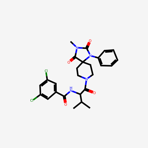 CC(C)C(NC(=O)c1cc(Cl)cc(Cl)c1)C(=O)N1CCC2(CC1)C(=O)N(C)C(=O)N2c1ccccc1